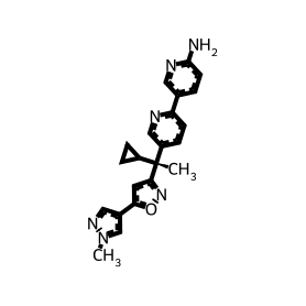 Cn1cc(-c2cc([C@@](C)(c3ccc(-c4ccc(N)nc4)nc3)C3CC3)no2)cn1